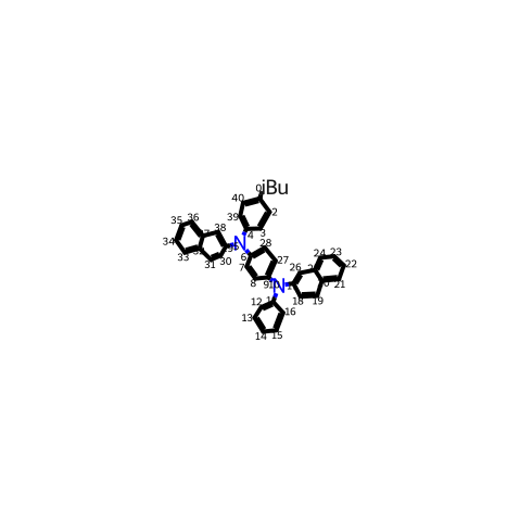 CCC(C)c1ccc(N(c2ccc(N(c3ccccc3)c3ccc4ccccc4c3)cc2)c2ccc3ccccc3c2)cc1